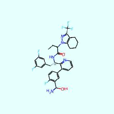 CCC(C(=O)N[C@@H](Cc1cc(F)cc(F)c1)c1ncccc1-c1ccc(F)c(C(N)O)c1)n1nc(C(F)(F)F)c2c1CCCC2